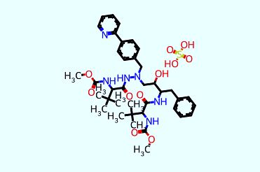 COC(=O)NC(C(=O)NC(Cc1ccccc1)C(O)CN(Cc1ccc(-c2ccccn2)cc1)NC(=O)C(NC(=O)OC)C(C)(C)C)C(C)(C)C.O=S(=O)(O)O